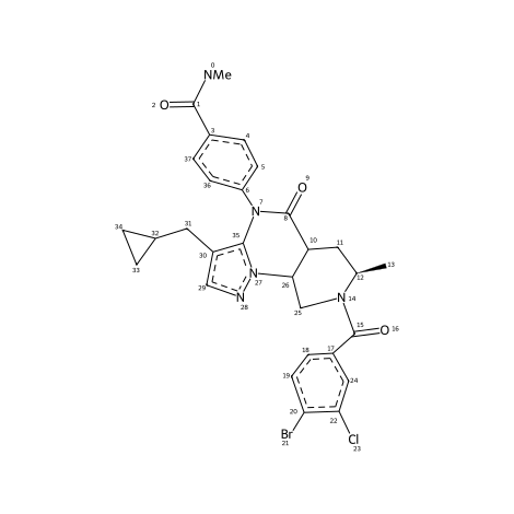 CNC(=O)c1ccc(N2C(=O)C3C[C@@H](C)N(C(=O)c4ccc(Br)c(Cl)c4)CC3n3ncc(CC4CC4)c32)cc1